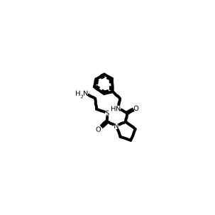 NCCSC(=O)N1CCCC1C(=O)NCc1ccccc1